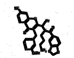 COc1cccc(Cc2c(C(C(C)C)N(CCCN)C(=O)c3ccc4c(c3)OCO4)oc3cc(C#N)ccc3c2=O)c1